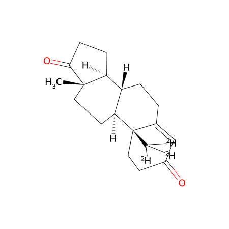 [2H]C([2H])([2H])[C@]12CCC(=O)C=C1CC[C@H]1[C@@H]3CCC(=O)[C@@]3(C)CC[C@@H]12